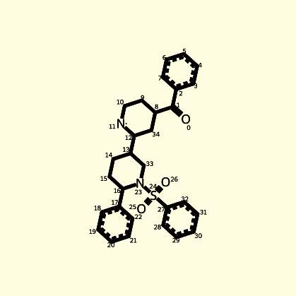 O=C(c1ccccc1)C1CC[N]C(C2CCC(c3ccccc3)N(S(=O)(=O)c3ccccc3)C2)C1